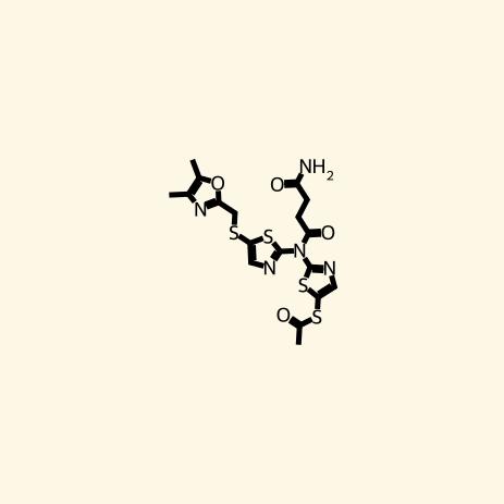 CC(=O)Sc1cnc(N(C(=O)CCC(N)=O)c2ncc(SCc3nc(C)c(C)o3)s2)s1